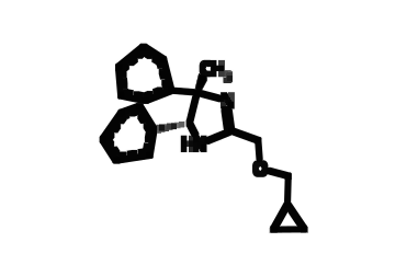 C[C@@]1(c2ccccc2)N=C(COCC2CC2)N[C@@H]1c1ccccc1